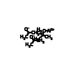 CC(C)[O-].CC(C)[O-].C[Si](C)(C)[O][Al+2]